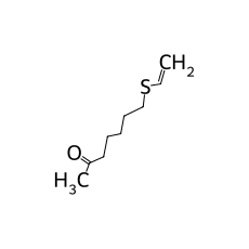 C=CSCCCCCC(C)=O